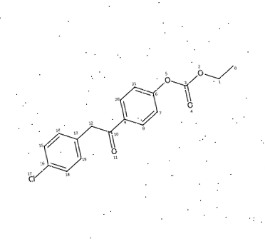 CCOC(=O)Oc1ccc(C(=O)Cc2ccc(Cl)cc2)cc1